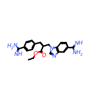 CCOC(=O)C(Cc1ccc(C(=N)N)cc1)Cn1cnc2cc(C(=N)N)ccc21